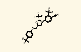 N#Cc1ccc(N2C[C@@H](COc3ccc(C(F)(F)F)cc3)O[C@@H]2C(F)(F)F)cc1C(F)(F)F